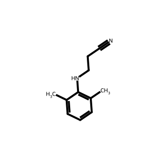 Cc1cccc(C)c1NCCC#N